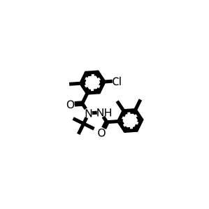 Cc1ccc(Cl)cc1C(=O)N(NC(=O)c1cccc(C)c1C)C(C)(C)C